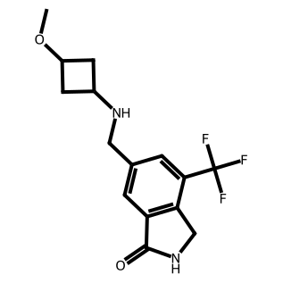 COC1CC(NCc2cc3c(c(C(F)(F)F)c2)CNC3=O)C1